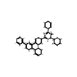 C1=CC(C2=NC(C3CC=C(C4=NC(c5ccccc5)=CCC4C4C=CCCC4)CC3)=NC(C3CCCCC3)N2)CCC1